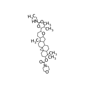 CCNC(=O)OC(C(C)C)C1CCC2C(CC3C4CCC5C(C)(C)C(OC(=O)N6CCOCC6)CCC56CC46CCC23C)O1